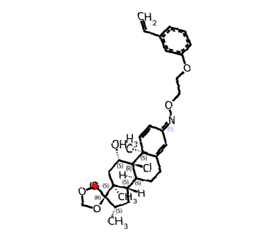 C=Cc1cccc(OCCO/N=C2\C=C[C@@]3(C)C(=C2)CC[C@H]2[C@@H]4C[C@H](C)[C@@]5(OCOC56COCO6)[C@@]4(C)C[C@H](O)[C@@]23Cl)c1